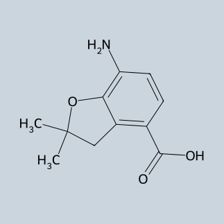 CC1(C)Cc2c(C(=O)O)ccc(N)c2O1